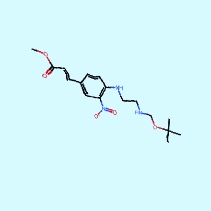 COC(=O)C=Cc1ccc(NCCNCOC(C)(C)C)c([N+](=O)[O-])c1